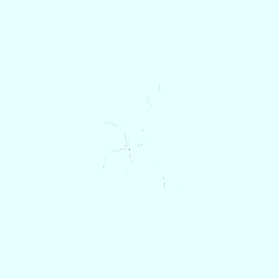 CO[N+](OC)(OC)OC.O.O.O.O.O.[OH-]